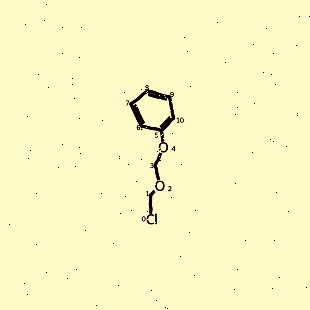 ClCOCOc1[c]cccc1